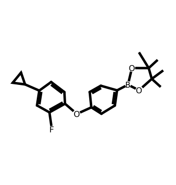 CC1(C)OB(c2ccc(Oc3ccc(C4CC4)cc3F)cc2)OC1(C)C